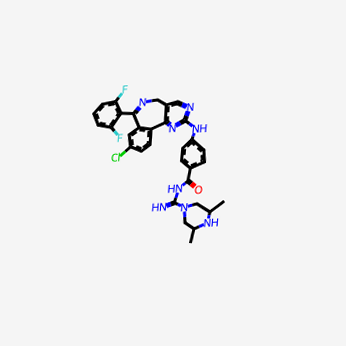 CC1CN(C(=N)NC(=O)c2ccc(Nc3ncc4c(n3)-c3ccc(Cl)cc3C(c3c(F)cccc3F)=NC4)cc2)CC(C)N1